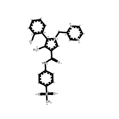 Cc1c(C(=O)Nc2ccc(S(C)(=O)=O)cc2)cn(Cc2cnccn2)c1-c1ccccc1Cl